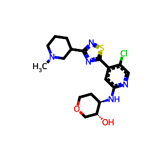 CN1CCCC(c2nsc(-c3cc(N[C@@H]4CCOC[C@H]4O)ncc3Cl)n2)C1